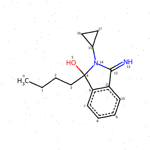 CCCCC1(O)c2ccccc2C(=N)N1C1CC1